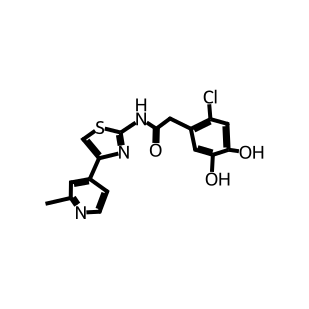 Cc1cc(-c2csc(NC(=O)Cc3cc(O)c(O)cc3Cl)n2)ccn1